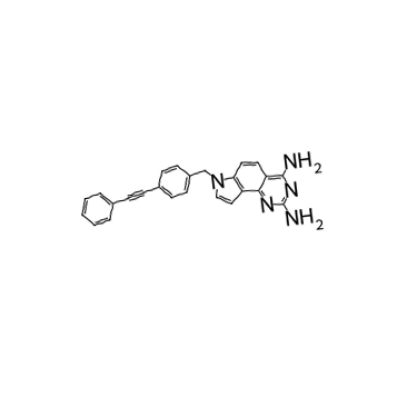 Nc1nc(N)c2ccc3c(ccn3Cc3ccc(C#Cc4ccccc4)cc3)c2n1